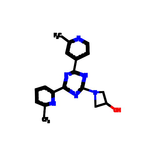 OC1CN(c2nc(-c3ccnc(C(F)(F)F)c3)nc(-c3cccc(C(F)(F)F)n3)n2)C1